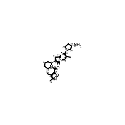 Cc1cn2nc([C@@H]3CCCCN3C(=O)c3onc(C)c3C)cc2nc1N1CC[C@H](N)C1